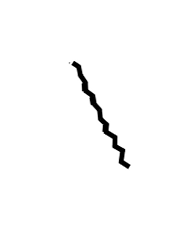 [CH2]CC/C=C/C=C/CC/C=C/CCCCC